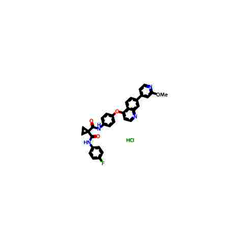 COc1cc(-c2ccc3c(Oc4ccc(NC(=O)C5(C(=O)Nc6ccc(F)cc6)CC5)cc4)ccnc3c2)ccn1.Cl